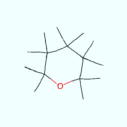 CC1(C)OC(C)(C)C(C)(C)C(C)(C)C1(C)C